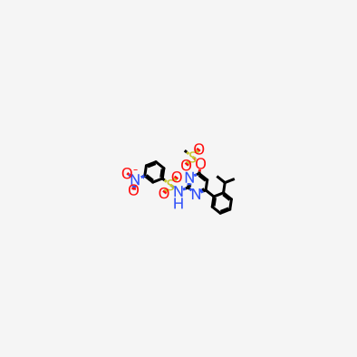 CC(C)c1ccccc1-c1cc(OS(C)(=O)=O)nc(NS(=O)(=O)c2cccc([N+](=O)[O-])c2)n1